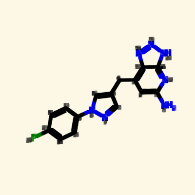 Nc1cc(Cc2cnn(-c3ccc(F)cc3)c2)c2nn[nH]c2n1